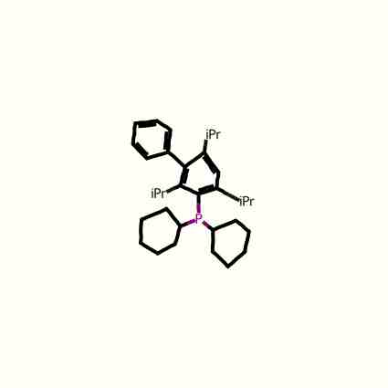 CC(C)c1cc(C(C)C)c(P(C2CCCCC2)C2CCCCC2)c(C(C)C)c1-c1ccccc1